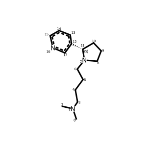 CN(C)CCCCN1CCC[C@H]1c1cccnc1